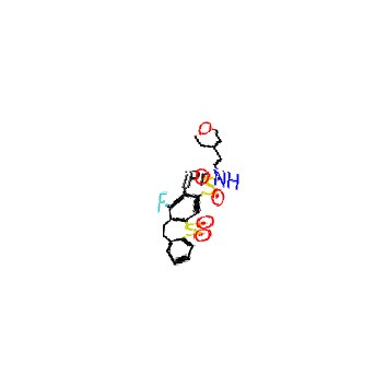 CC(C)c1c(S(=O)(=O)NCCC2CCOCC2)cc2c(c1F)CCc1ccccc1S2(=O)=O